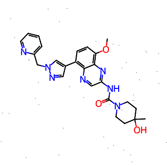 COc1ccc(-c2cnn(Cc3ccccn3)c2)c2ncc(NC(=O)N3CCC(C)(O)CC3)nc12